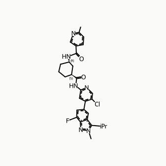 Cc1ccc(C(=O)N[C@@H]2CCC[C@H](C(=O)Nc3cc(-c4cc(F)c5nn(C)c(C(C)C)c5c4)c(Cl)cn3)C2)cn1